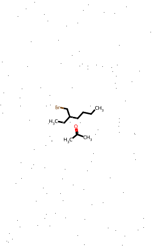 CC(C)=O.CCCCC(CC)CBr